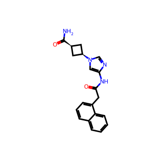 NC(=O)[C@H]1C[C@@H](n2cnc(NC(=O)Cc3cccc4ccccc34)c2)C1